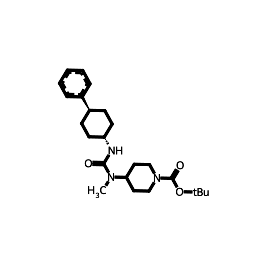 CN(C(=O)N[C@H]1CC[C@H](c2ccccc2)CC1)C1CCN(C(=O)OC(C)(C)C)CC1